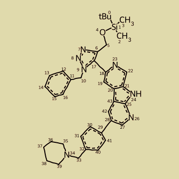 CC(C)(C)[Si](C)(C)OCc1nnn(Cc2ccccc2)c1-c1cc2c(cn1)[nH]c1ncc(-c3ccc(CN4CCCCC4)cc3)cc12